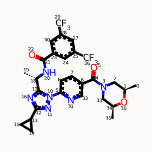 C[C@@H]1CN(C(=O)c2ccc(-n3nc(C4CC4)nc3[C@H](C)NC(=O)c3cc(C(F)(F)F)cc(C(F)(F)F)c3)nc2)C[C@H](C)O1